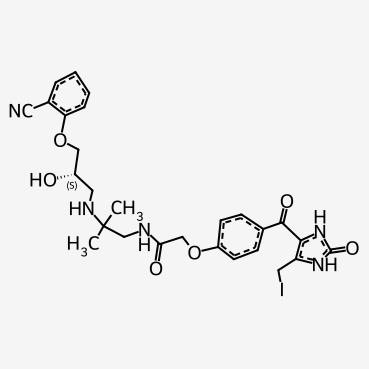 CC(C)(CNC(=O)COc1ccc(C(=O)c2[nH]c(=O)[nH]c2CI)cc1)NC[C@H](O)COc1ccccc1C#N